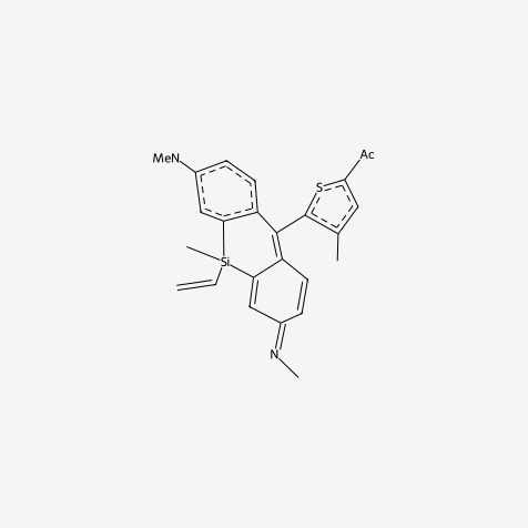 C=C[Si]1(C)C2=C/C(=N/C)C=CC2=C(c2sc(C(C)=O)cc2C)c2ccc(NC)cc21